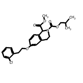 COC(=O)C1c2ccc(OCCc3ccccc3Cl)cc2CCN1C(=O)OCC(C)C